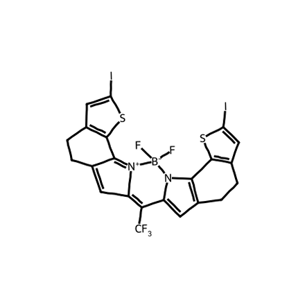 F[B-]1(F)n2c(cc3c2-c2sc(I)cc2CC3)C(C(F)(F)F)=C2C=C3CCc4cc(I)sc4C3=[N+]21